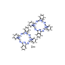 [Tm].c1ccc2c(c1)-c1nc-2nc2[nH]c(nc3nc(nc4[nH]c(n1)c1ccccc41)-c1ccccc1-3)c1ccccc21.c1ccc2c(c1)-c1nc-2nc2[nH]c(nc3nc(nc4[nH]c(n1)c1ccccc41)-c1ccccc1-3)c1ccccc21